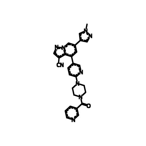 Cn1cc(-c2cc(-c3ccc(N4CCN(C(=O)c5cccnc5)CC4)nc3)c3c(C#N)cnn3c2)cn1